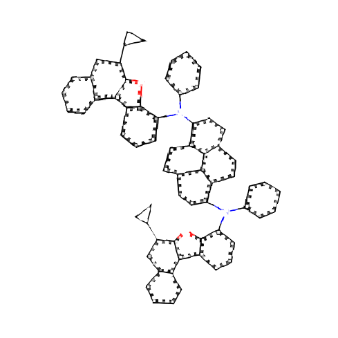 c1ccc(N(c2ccc3ccc4c(N(c5ccccc5)c5cccc6c5oc5c(C7CC7)cc7ccccc7c56)ccc5ccc2c3c54)c2cccc3c2oc2c(C4CC4)cc4ccccc4c23)cc1